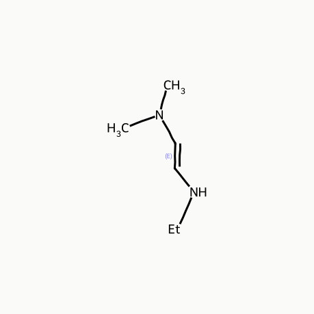 CCN/C=C/N(C)C